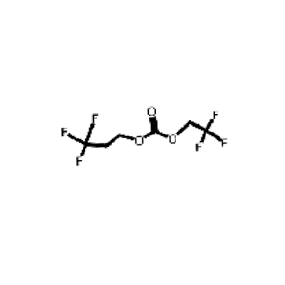 O=C(OCCC(F)(F)F)OCC(F)(F)F